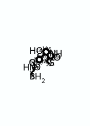 BCCNS(=O)(=O)c1ccc(-c2c(O)ccc3[nH]c(=O)c4sccc4c23)cc1